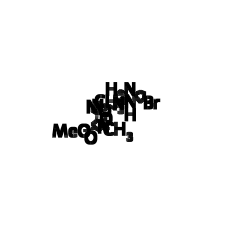 COC(=O)c1cc(-c2cnn(C)c2OCCN2CC3(Nc4cc(Br)ccc4N)CCCC2C3)c(=O)n(C)c1